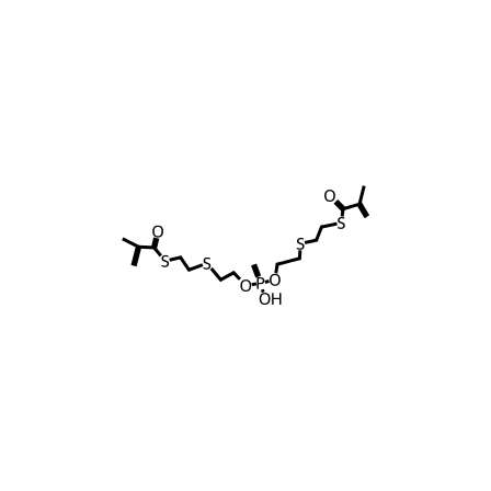 C=C(C)C(=O)SCCSCCOP(=C)(O)OCCSCCSC(=O)C(=C)C